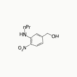 CCCNc1cc(CO)ccc1[N+](=O)[O-]